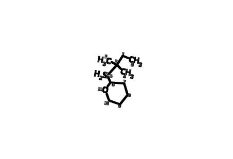 CCC(C)(C)[SiH2]C1CCCCO1